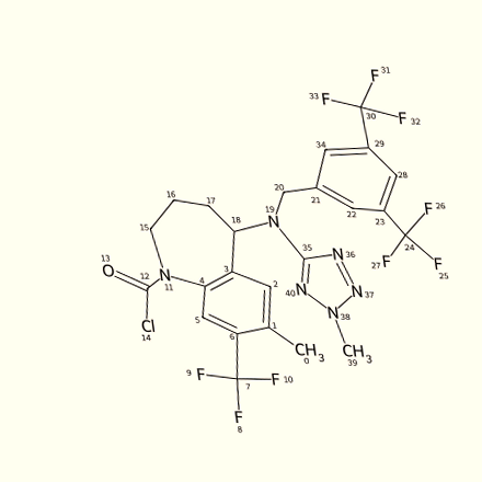 Cc1cc2c(cc1C(F)(F)F)N(C(=O)Cl)CCCC2N(Cc1cc(C(F)(F)F)cc(C(F)(F)F)c1)c1nnn(C)n1